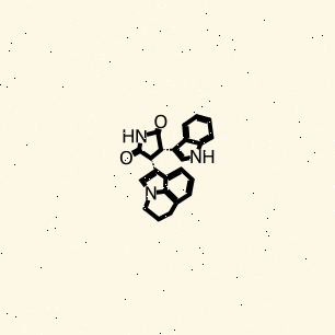 O=C1NC(=O)[C@@H](c2cn3c4c(cccc24)CCC3)[C@H]1c1c[nH]c2ccccc12